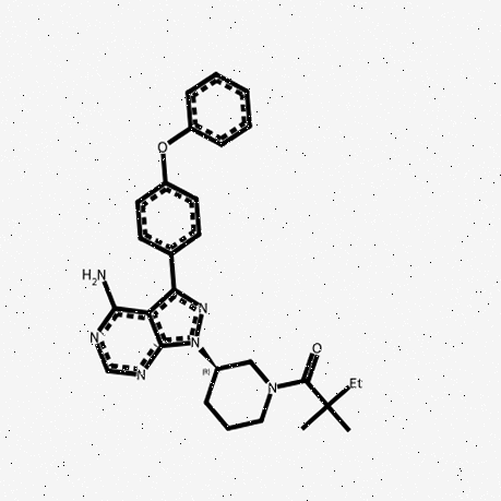 CCC(C)(C)C(=O)N1CCC[C@@H](n2nc(-c3ccc(Oc4ccccc4)cc3)c3c(N)ncnc32)C1